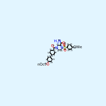 CCCCCCCCOc1ccc(-c2ccc(C(=O)N3CCN(S(=O)(=O)c4ccc(OC)cc4)C(C(N)=O)C3)cc2)cc1